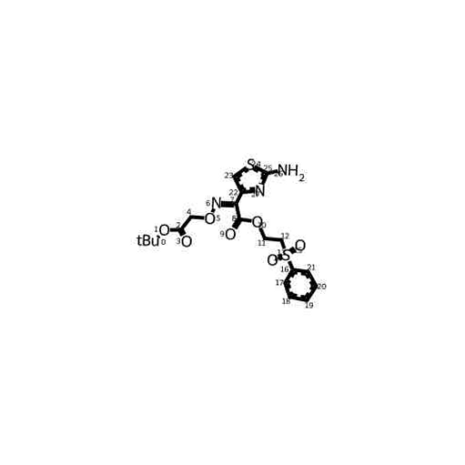 CC(C)(C)OC(=O)CO/N=C(\C(=O)OCCS(=O)(=O)c1ccccc1)c1csc(N)n1